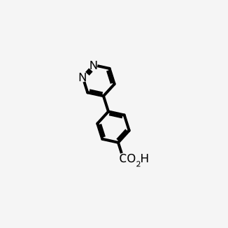 O=C(O)c1ccc(-c2ccnnc2)cc1